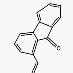 C=Cc1cccc2c1C(=O)c1ccccc1-2